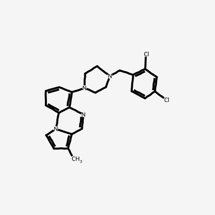 Cc1ccn2c1cnc1c(N3CCN(Cc4ccc(Cl)cc4Cl)CC3)cccc12